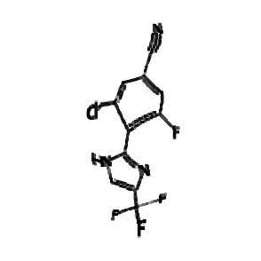 N#Cc1cc(F)c(-c2nc(C(F)(F)F)c[nH]2)c(Cl)c1